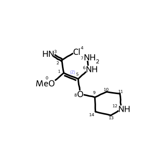 CO/C(C(=N)Cl)=C(/NN)OC1CCNCC1